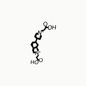 O=C(O)CC[n+]1ccc(-c2ccc3cc[n+](CCC(=O)O)cc3c2)cc1